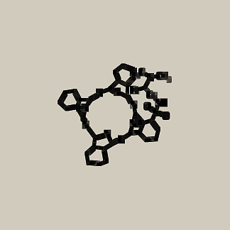 CC[CH]([Cu][NH]S(=O)(=O)c1cccc2c3nc4nc(nc5[nH]c(nc6nc(nc([nH]3)c12)-c1ccccc1-6)c1ccccc51)-c1ccccc1-4)N(C)C